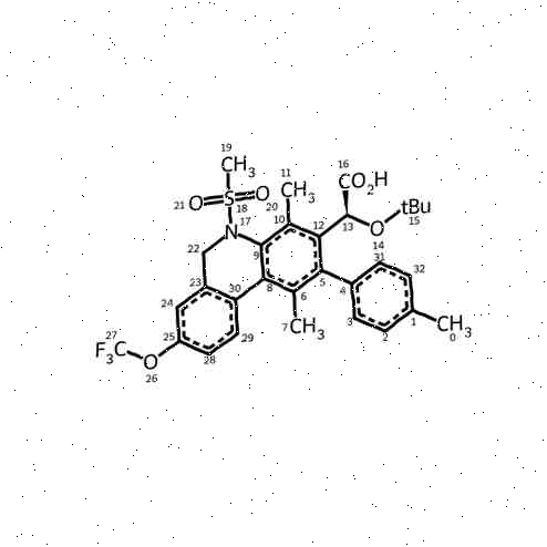 Cc1ccc(-c2c(C)c3c(c(C)c2[C@H](OC(C)(C)C)C(=O)O)N(S(C)(=O)=O)Cc2cc(OC(F)(F)F)ccc2-3)cc1